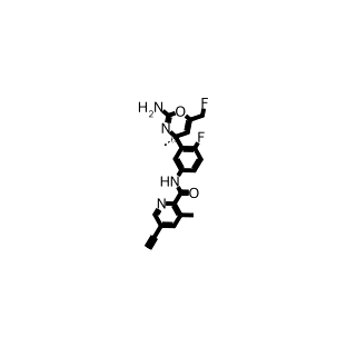 C#Cc1cnc(C(=O)Nc2ccc(F)c([C@]3(C)C=C(CF)OC(N)=N3)c2)c(C)c1